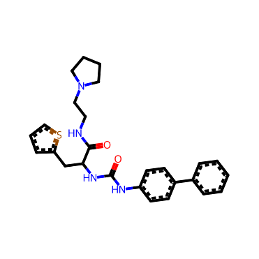 O=C(Nc1ccc(-c2ccccc2)cc1)NC(Cc1cccs1)C(=O)NCCN1CCCC1